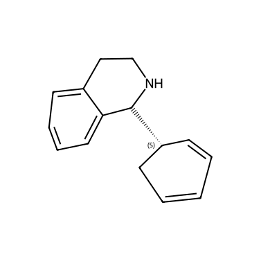 C1=CC[C@H](C2NCCc3ccccc32)C=C1